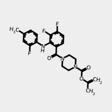 C=C(C)OC(=O)N1CCN(C(=O)c2ccc(F)c(F)c2Nc2ccc(C)cc2F)CC1